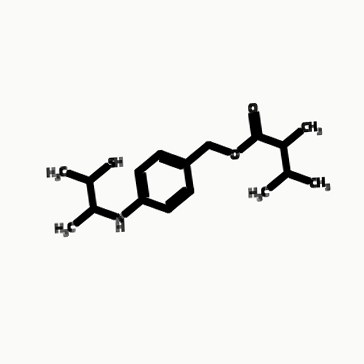 CC(C)C(C)C(=O)OCc1ccc(NC(C)C(C)S)cc1